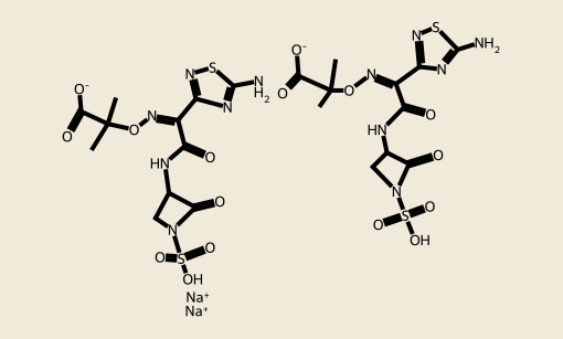 CC(C)(O/N=C(\C(=O)NC1CN(S(=O)(=O)O)C1=O)c1nsc(N)n1)C(=O)[O-].CC(C)(O/N=C(\C(=O)NC1CN(S(=O)(=O)O)C1=O)c1nsc(N)n1)C(=O)[O-].[Na+].[Na+]